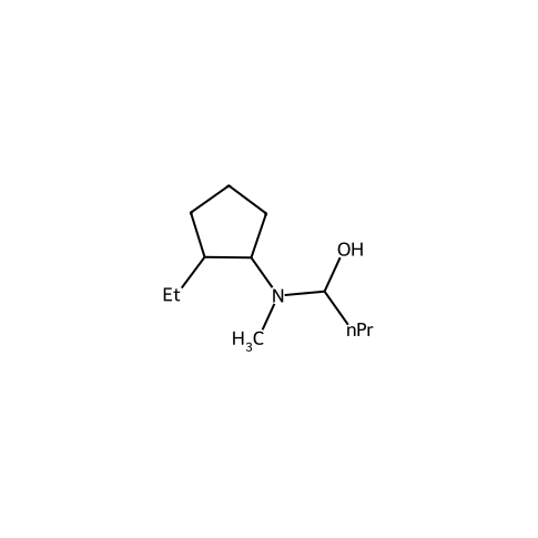 CCCC(O)N(C)C1CCCC1CC